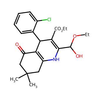 CCOC(=O)C1=C(C(O)OCC)NC2=C(C(=O)CC(C)(C)C2)C1c1ccccc1Cl